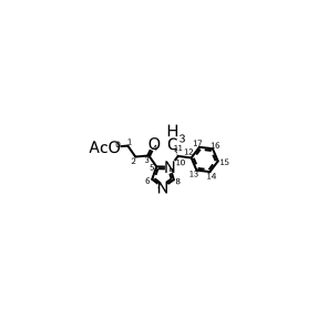 CC(=O)OCCC(=O)c1cncn1[C@H](C)c1ccccc1